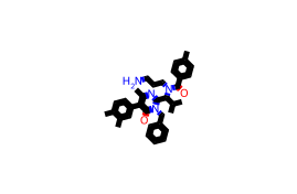 Cc1ccc(C(=O)N(CCCN)C(c2nc(C)c(-c3ccc(C)c(C)c3)c(=O)n2Cc2ccccc2)C(C)C)cc1